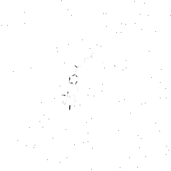 CC(C)COC(=O)c1ccc(CN2CC(=O)NS2(=O)=O)s1